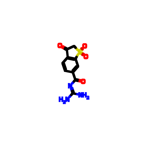 NC(N)=NC(=O)c1ccc2c(c1)S(=O)(=O)CC2=O